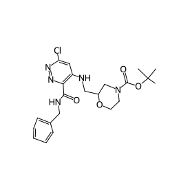 CC(C)(C)OC(=O)N1CCOC(CNc2cc(Cl)nnc2C(=O)NCc2ccccc2)C1